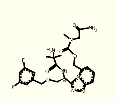 CN(CC(N)=O)C(=O)OCc1cccc2nnc([C@@H](COCc3cc(F)cc(F)c3)NC(=O)C(C)(C)N)n12